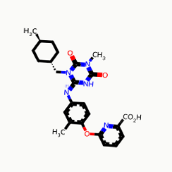 Cc1cc(/N=c2\[nH]c(=O)n(C)c(=O)n2C[C@H]2CC[C@H](C)CC2)ccc1Oc1cccc(C(=O)O)n1